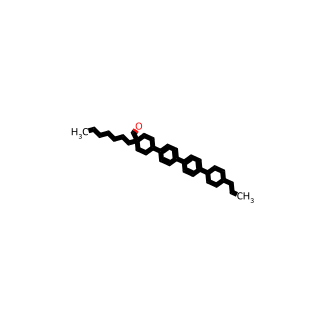 CCCCCCCC1(C=O)CCC(c2ccc(-c3ccc(C4CCC(CCC)CC4)cc3)cc2)CC1